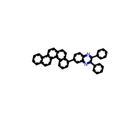 c1ccc(-c2nc3ccc(-c4cccc5c4ccc4ccc6c7ccccc7ccc6c45)cc3nc2-c2ccccc2)cc1